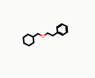 [c]1ccc(CCOCC2CCCCC2)cc1